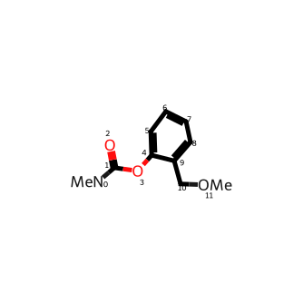 CNC(=O)Oc1ccccc1COC